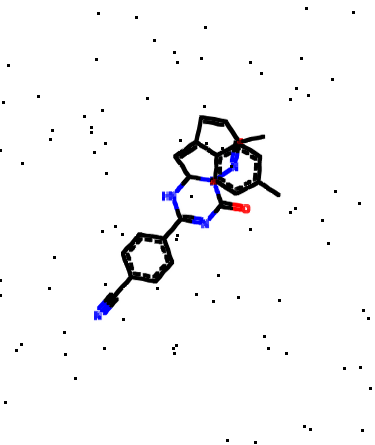 CC1=N/N2C(=O)N=C(c3ccc(C#N)cc3)NC2/C=C(c2ccc(C)cc2)/C=C\1